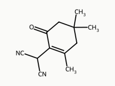 CC1=C(C(C#N)C#N)C(=O)CC(C)(C)C1